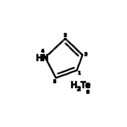 [TeH2].c1cc[nH]c1